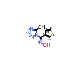 Cc1nnnn1/C(=N/O)c1ccsc1